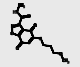 CNC(=O)c1noc2c1C(=O)C(SCCCOC)=CC2=O